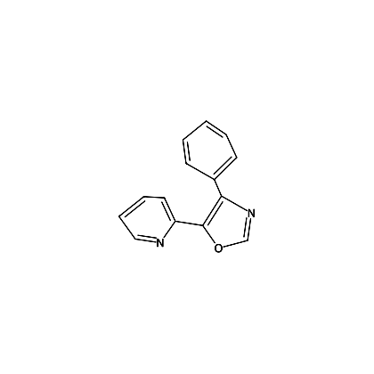 c1ccc(-c2ncoc2-c2ccccn2)cc1